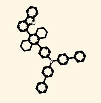 c1ccc(-c2ccc(N(c3ccc(-c4ccccc4)cc3)c3ccc(-c4c5c(c(-c6cccc7c6oc6ccccc67)c6c4CCCC6)CCCC5)cc3)cc2)cc1